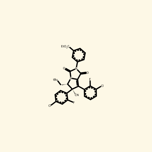 CCOC(=O)c1cccc(N2C(=O)C3=C(c4cccc(Cl)c4F)[C@@](C#N)(c4ccc(Cl)cc4F)[C@H](CC(C)(C)C)N3C2=O)c1